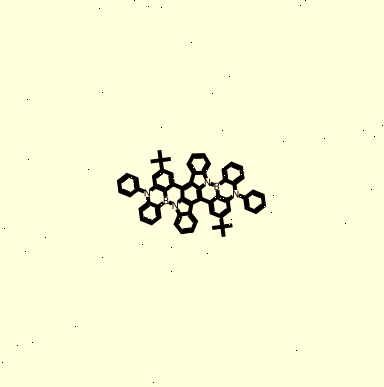 CC(C)(C)c1cc2c3c(c1)N(c1ccccc1)c1ccccc1B3n1c3ccccc3c3c4c5c(c-2c31)c1ccccc1n5B1c2ccccc2N(c2ccccc2)c2cc(C(C)(C)C)cc-4c21